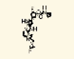 O=C(NC12CC(C1)C2)O[C@H]1C[C@@H](c2cc(Nc3nccc4nc(CN5CC(F)C5)cn34)n[nH]2)C[C@H]1F